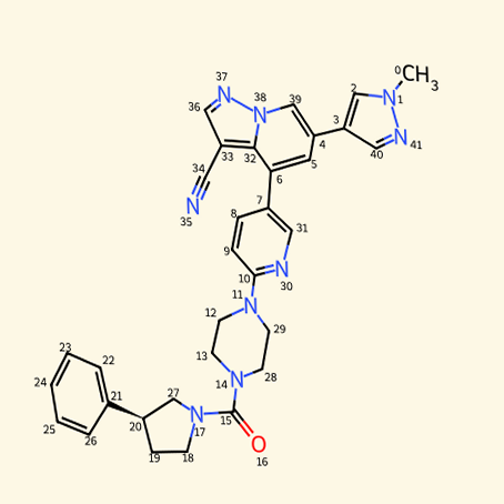 Cn1cc(-c2cc(-c3ccc(N4CCN(C(=O)N5CC[C@@H](c6ccccc6)C5)CC4)nc3)c3c(C#N)cnn3c2)cn1